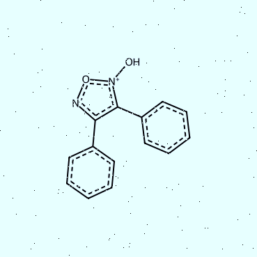 O[n+]1onc(-c2ccccc2)c1-c1ccccc1